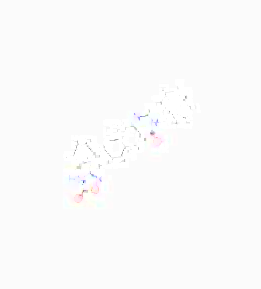 CCCCc1ncn(CC23CC4CC(CC(C4)C2)C3)c(=O)c1Cc1ccc(C2=CC=CCC2(C)c2noc(=O)[nH]2)cc1